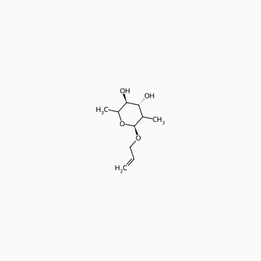 C=CCO[C@H]1OC(C)[C@@H](O)[C@H](O)C1C